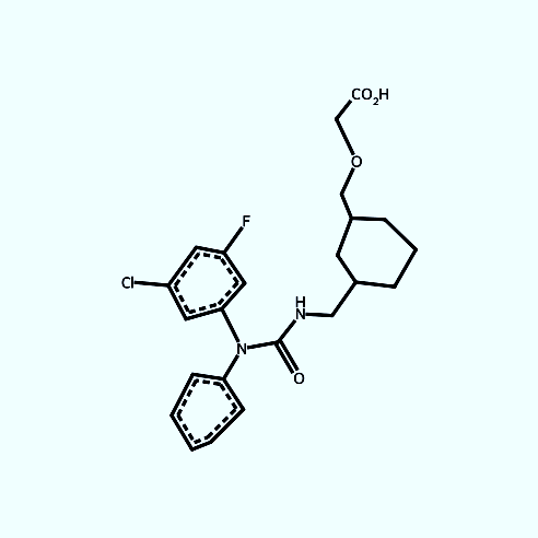 O=C(O)COCC1CCCC(CNC(=O)N(c2ccccc2)c2cc(F)cc(Cl)c2)C1